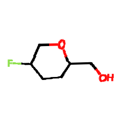 OCC1CCC(F)CO1